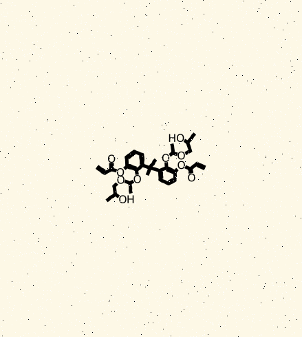 C=CC(=O)Oc1cccc(C(C)(C)c2cccc(OC(=O)C=C)c2OC(C)OCC(C)O)c1OC(C)OCC(C)O